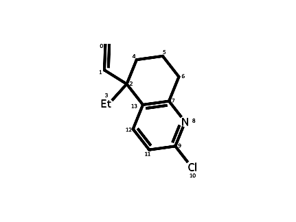 C=CC1(CC)CCCc2nc(Cl)ccc21